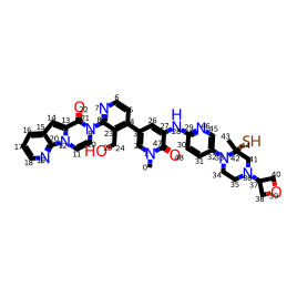 Cn1cc(-c2ccnc(-n3ccn4c(cc5cccnc54)c3=O)c2CO)cc(Nc2ccc(N3CCN(C4COC4)CC3(C)S)cn2)c1=O